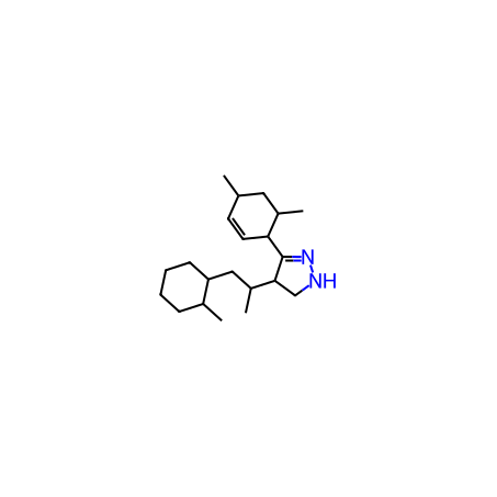 CC1C=CC(C2=NNCC2C(C)CC2CCCCC2C)C(C)C1